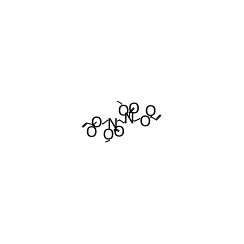 C=CC(=O)OCCN(CCN(CCOC(=O)C=C)C(=O)OCC)C(=O)OCC